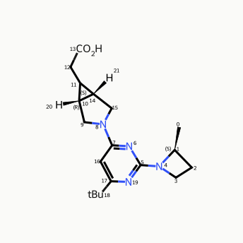 C[C@H]1CCN1c1nc(N2C[C@@H]3C(CC(=O)O)[C@@H]3C2)cc(C(C)(C)C)n1